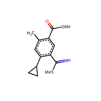 COC(=O)c1cc(C(=N)SC)c(C2CC2)cc1C